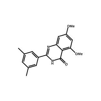 COc1cc(OC)c2c(=O)[nH]c(-c3cc(C)cc(C)c3)nc2c1